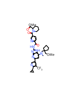 COCC1(CN(C)c2cc(-c3cnc(C4CC4)c(C(F)(F)F)c3)nc3nc(NC(=O)c4ccc(C(=O)N5CCCCC5C(=O)OC)cn4)[nH]c23)CCCC1